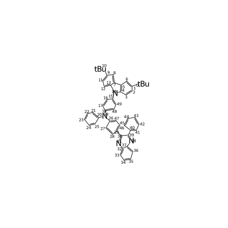 CC(C)(C)c1ccc2c(c1)c1cc(C(C)(C)C)ccc1n2-c1ccc(N(c2ccccc2)c2ccc(-c3nc4ccccc4nc3-c3ccccc3)cc2)cc1